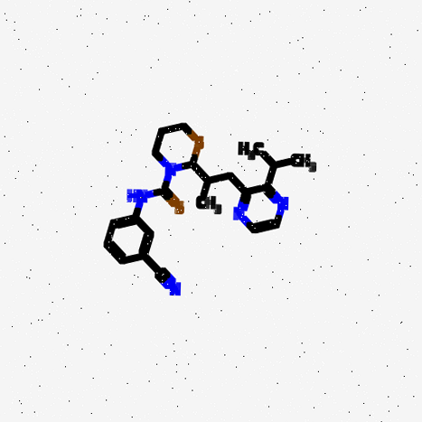 CC(C)c1nccnc1CC(C)C1SCCCN1C(=S)Nc1cccc(C#N)c1